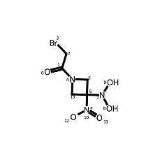 O=C(CBr)N1CC(N(O)O)([N+](=O)[O-])C1